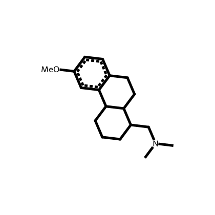 COc1ccc2c(c1)C1CCCC(CN(C)C)C1CC2